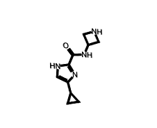 O=C(NC1CNC1)c1nc(C2CC2)c[nH]1